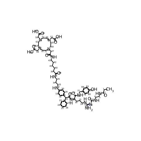 CCC(=O)NCCNC(=O)/N=C(/N)NCCC[C@@H](NC(=O)C(c1ccccc1)c1ccc(NCCCNC(=O)CCCCCNC(=O)CN2CCN(CC(=O)O)CCN(CC(=O)O)CCN(CC(=O)O)CC2)cc1)C(=O)NCc1ccc(O)cc1